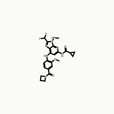 COc1cc(C(=O)N2CCC2)ccc1Nc1cc(NC(=O)C2CC2)nc2c1nc(C(F)F)n2PI